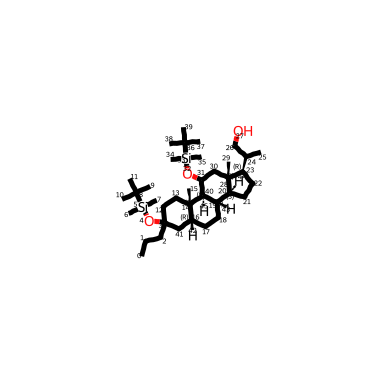 CCCC1(O[Si](C)(C)C(C)(C)C)CC[C@@]2(C)[C@H](CC[C@H]3[C@@H]4CC[C@H](C(C)CO)[C@@]4(C)CC(O[Si](C)(C)C(C)(C)C)[C@@H]32)C1